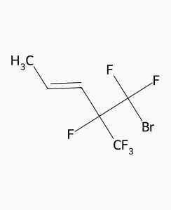 CC=CC(F)(C(F)(F)F)C(F)(F)Br